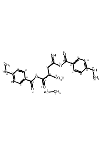 CC(C)=O.N=C(CC(C(=O)OC(=O)c1ccc(NN)nc1)S(=O)(=O)O)OC(=O)c1ccc(NN)nc1